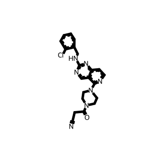 N#CCC(=O)N1CCN(c2nccc3nc(NCc4ccccc4Cl)ncc23)CC1